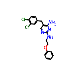 Nc1nc(NCCOc2ccccc2)ncc1Cc1ccc(Cl)c(Cl)c1